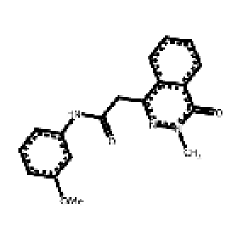 COc1cccc(NC(=O)Cc2nn(C)c(=O)c3ccccc23)c1